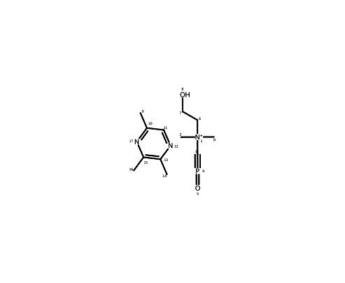 C[N+](C)(C#P=O)CCO.Cc1cnc(C)c(C)n1